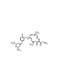 CCC(=O)NC(=O)CN(C)C/C=C(/C=C\C=C(/C)C=O)OCc1cc(CN2CC(C)OC(C)C2)ccc1F